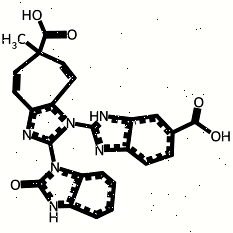 CC1(C(=O)O)C=Cc2nc(-n3c(=O)[nH]c4ccccc43)n(-c3nc4ccc(C(=O)O)cc4[nH]3)c2C=C1